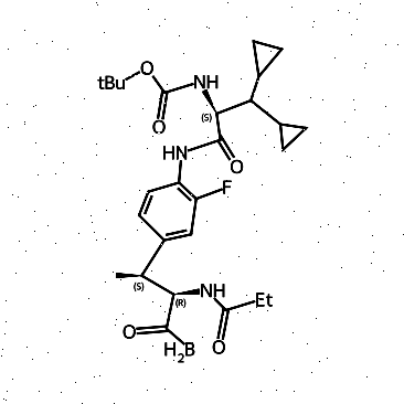 BC(=O)[C@H](NC(=O)CC)[C@@H](C)c1ccc(NC(=O)[C@@H](NC(=O)OC(C)(C)C)C(C2CC2)C2CC2)c(F)c1